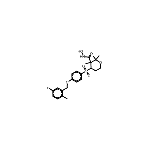 Cc1ccc(F)cc1COc1ccc(S(=O)(=O)C2CCOC(C)(C)C2(C)C(=O)NO)cc1